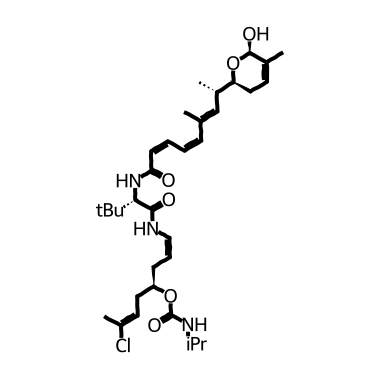 CC1=CC[C@@H]([C@@H](C)/C=C(C)/C=C\C=C/C(=O)N[C@H](C(=O)N/C=C\C[C@H](C/C=C(\C)Cl)OC(=O)NC(C)C)C(C)(C)C)O[C@H]1O